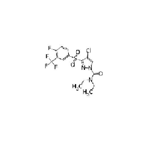 CCN(CC)C(=O)n1cc(Cl)c(S(=O)(=O)c2ccc(F)c(C(F)(F)F)c2)n1